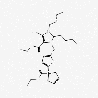 CCCCC1N(CCCC)C(Cl)=C(C(=O)OCC)N1Cc1ccc(C2(C(=O)OCC)CC=CC2)s1